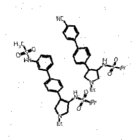 CCN1CC(NS(=O)(=O)C(C)C)C(c2ccc(-c3ccc(C#N)cc3)cc2)C1.CCN1CC(NS(=O)(=O)C(C)C)C(c2ccc(-c3cccc(NS(C)(=O)=O)c3)cc2)C1